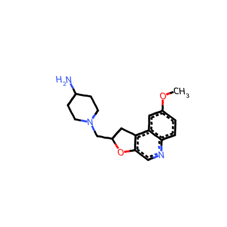 COc1ccc2ncc3c(c2c1)CC(CN1CCC(N)CC1)O3